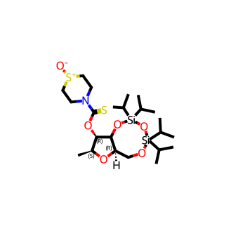 CC(C)[Si]1(C(C)C)OC[C@H]2O[C@@H](C)[C@@H](OC(=S)N3CC[S+]([O-])CC3)C2O[Si](C(C)C)(C(C)C)O1